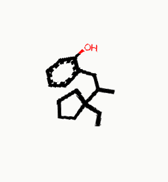 CCC1(C(C)Cc2ccccc2O)CCCC1